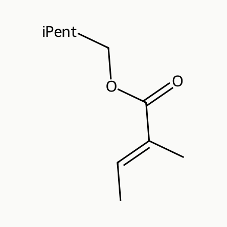 CC=C(C)C(=O)OCC(C)CCC